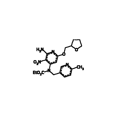 CCOC(=O)N(Cc1ccc(C)nc1)c1cc(OCC2CCCO2)nc(N)c1[N+](=O)[O-]